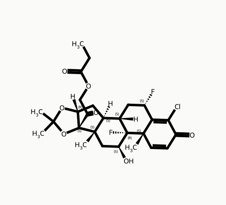 CCC(=O)OCC(=O)[C@@]12OC(C)(C)O[C@@H]1C[C@H]1[C@@H]3C[C@H](F)C4=C(Cl)C(=O)C=C[C@]4(C)[C@@]3(F)[C@@H](O)C[C@@]12C